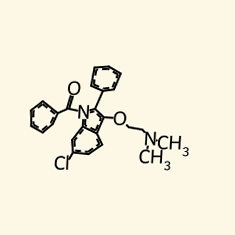 CN(C)CCOc1c(-c2ccccc2)n(C(=O)c2ccccc2)c2cc(Cl)ccc12